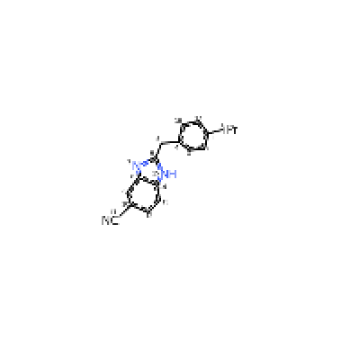 CC(C)c1ccc(Cc2nc3cc(C#N)ccc3[nH]2)cc1